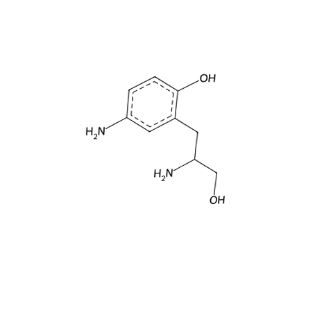 Nc1ccc(O)c(CC(N)CO)c1